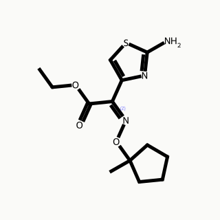 CCOC(=O)/C(=N\OC1(C)CCCC1)c1csc(N)n1